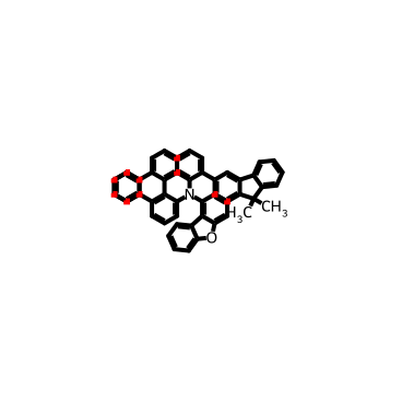 CC1(C)c2ccccc2-c2cc(-c3ccccc3N(c3cccc(-c4ccccc4)c3-c3ccccc3-c3ccccc3)c3cccc4oc5ccccc5c34)ccc21